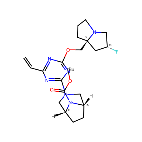 C=Cc1nc(OC[C@@]23CCCN2C[C@H](F)C3)nc(N2C[C@H]3CC[C@@H](C2)N3C(=O)OC(C)(C)C)n1